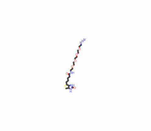 [N-]=[N+]=NCCOCCOCCOCCOCCNC(=O)CCCCC1SCC2NC(=O)NC21